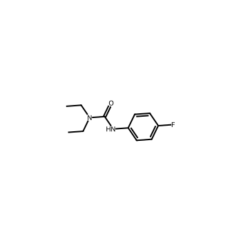 CCN(CC)C(=O)Nc1ccc(F)cc1